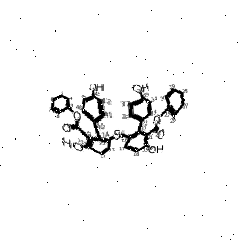 O=C(Oc1ccccc1)c1c(O)ccc(Sc2ccc(O)c(C(=O)Oc3ccccc3)c2-c2ccc(O)cc2)c1-c1ccc(O)cc1